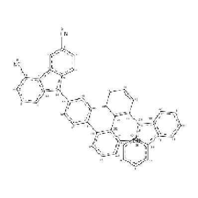 N#Cc1ccc2c(c1)c1c(C#N)cccc1n2-c1ccc(-c2cccc(C#N)c2C2=C(n3c4ccccc4c4ccccc43)C=CCC2)cc1